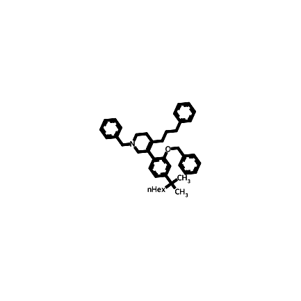 CCCCCCC(C)(C)c1ccc(C2=C(CCCc3ccccc3)CCN(Cc3ccccc3)C2)c(OCc2ccccc2)c1